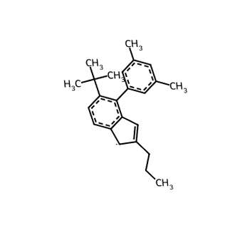 CCCC1=Cc2c(ccc(C(C)(C)C)c2-c2cc(C)cc(C)c2)[CH]1